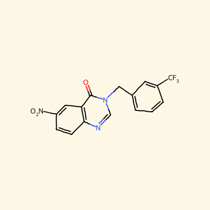 O=c1c2cc([N+](=O)[O-])ccc2ncn1Cc1cccc(C(F)(F)F)c1